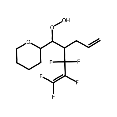 C=CCC(C(OO)C1CCCCO1)C(F)(F)C(F)=C(F)F